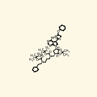 CC(C)(C)OC(=O)N(CCCN(C[C@H]1C[C@@H](n2cc(-c3nc(Oc4ccccc4)cs3)c3c(N)ncnc32)[C@@H]2OC(C)(C)O[C@H]12)C(=O)OC(C)(C)C)CCc1ccccc1